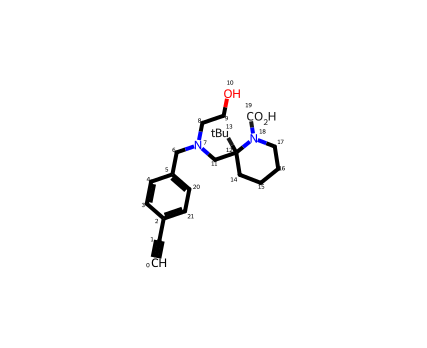 C#Cc1ccc(CN(CCO)CC2(C(C)(C)C)CCCCN2C(=O)O)cc1